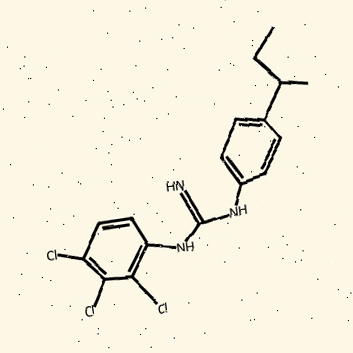 CCC(C)c1ccc(NC(=N)Nc2ccc(Cl)c(Cl)c2Cl)cc1